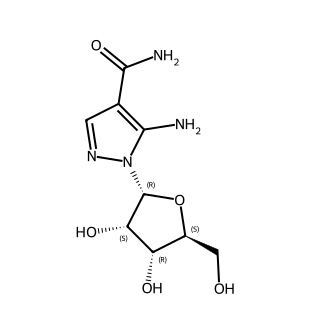 NC(=O)c1cnn([C@@H]2O[C@@H](CO)[C@H](O)[C@@H]2O)c1N